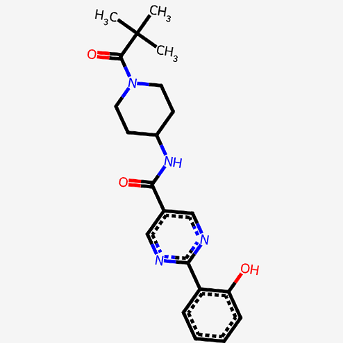 CC(C)(C)C(=O)N1CCC(NC(=O)c2cnc(-c3ccccc3O)nc2)CC1